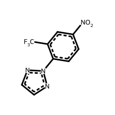 O=[N+]([O-])c1ccc(-n2nccn2)c(C(F)(F)F)c1